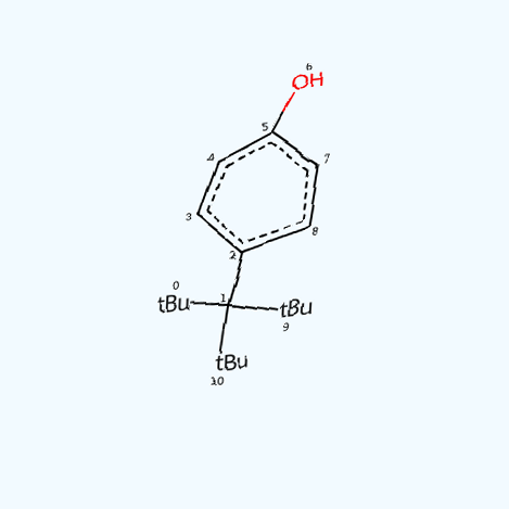 CC(C)(C)C(c1ccc(O)cc1)(C(C)(C)C)C(C)(C)C